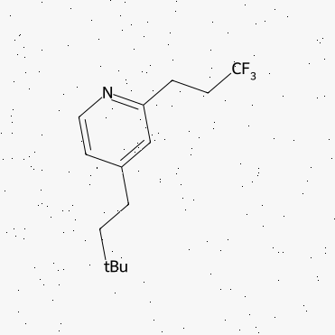 CC(C)(C)CCc1ccnc(CCC(F)(F)F)c1